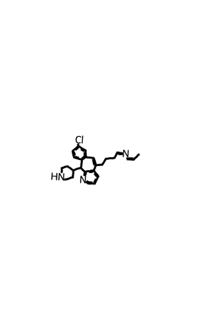 C/C=C\N=C/CCCC1=Cc2cc(Cl)ccc2C(C2CCNCC2)c2ncccc21